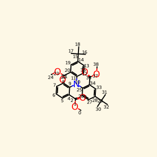 COC(=O)c1ccccc1N(c1ccc(C(C)(C)C)cc1C(=O)OC)c1ccc(C(C)(C)C)cc1C(=O)OC